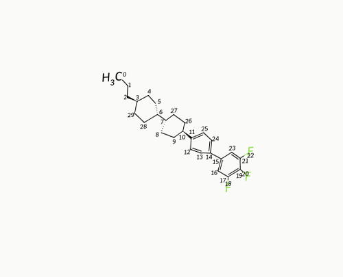 CCC[C@H]1CC[C@H]([C@H]2CC[C@H](c3ccc(-c4cc(F)c(F)c(F)c4)cc3)CC2)CC1